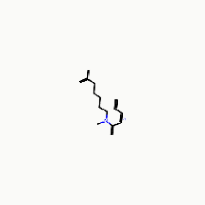 C=C/C=C\C(=C)N(C)CCCCCC(=C)C